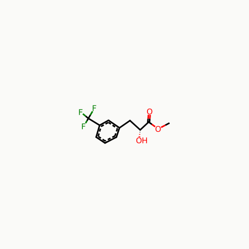 COC(=O)[C@H](O)Cc1cccc(C(F)(F)F)c1